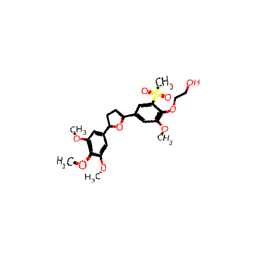 COc1cc(C2CCC(c3cc(OC)c(OCCO)c(S(C)(=O)=O)c3)O2)cc(OC)c1OC